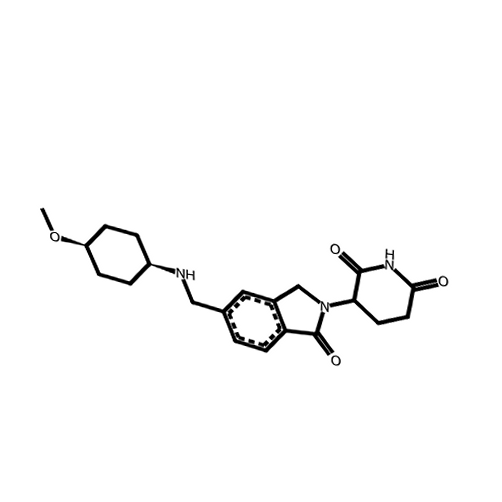 CO[C@H]1CC[C@@H](NCc2ccc3c(c2)CN(C2CCC(=O)NC2=O)C3=O)CC1